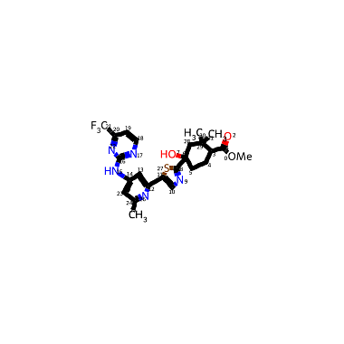 COC(=O)C1CCC(O)(c2ncc(-c3cc(Nc4nccc(C(F)(F)F)n4)cc(C)n3)s2)CC1(C)C